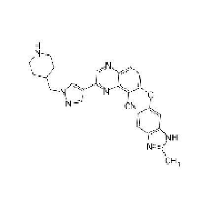 Cc1nc2ccc(Oc3ccc4ncc(-c5cnn(CC6CCNCC6)c5)nc4c3C#N)cc2[nH]1